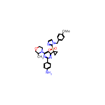 COc1ccc(Cn2ccnc2S(=O)(=O)C2(c3cc(N4CCOC[C@@H]4C)nc(-c4ccc(N)cc4)n3)CC2)cc1